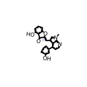 Cn1cc(/C=C2\Oc3cccc(O)c3C2=O)c2c(-c3cccc(O)c3)ccnc21